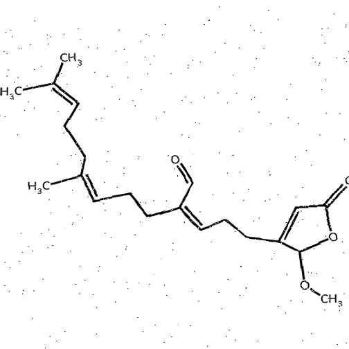 COC1OC(=O)C=C1CCC=C(C=O)CCC=C(C)CCC=C(C)C